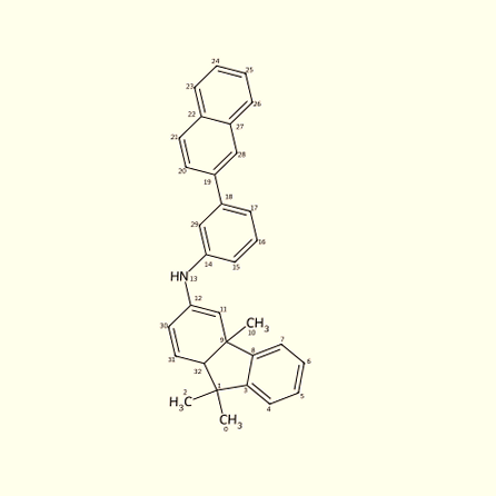 CC1(C)c2ccccc2C2(C)C=C(Nc3cccc(-c4ccc5ccccc5c4)c3)C=CC12